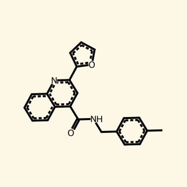 Cc1ccc(CNC(=O)c2cc(-c3ccco3)nc3ccccc23)cc1